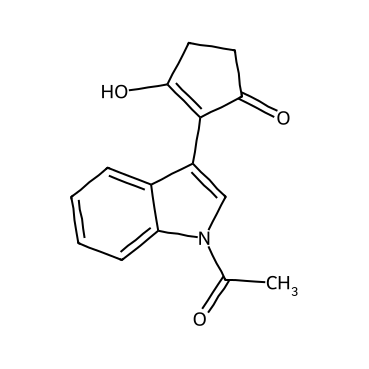 CC(=O)n1cc(C2=C(O)CCC2=O)c2ccccc21